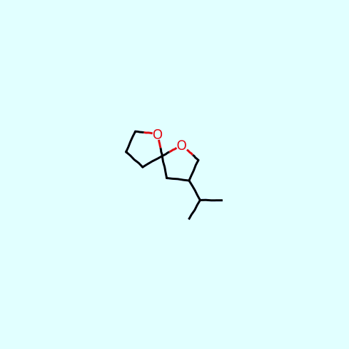 CC(C)C1COC2(CCCO2)C1